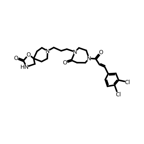 O=C1NCC2(CCN(CCCN3CCN(C(=O)C=Cc4ccc(Cl)c(Cl)c4)CCC3=O)CC2)O1